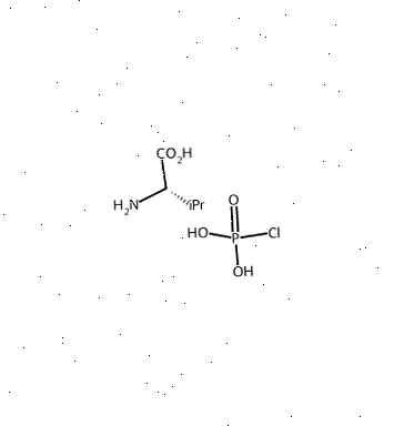 CC(C)[C@H](N)C(=O)O.O=P(O)(O)Cl